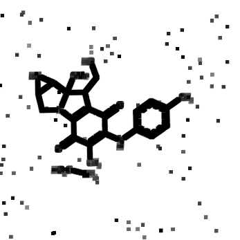 COC12C(CO)C3=C(C(=O)C(C)=C(Nc4ccc(C)cc4)C3=O)N1CC1NC12.NC(=O)O